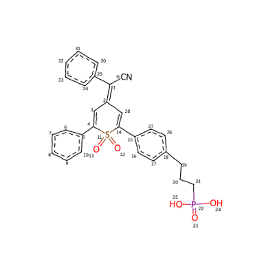 N#C/C(=C1/C=C(c2ccccc2)S(=O)(=O)C(c2ccc(CCCP(=O)(O)O)cc2)=C1)c1ccccc1